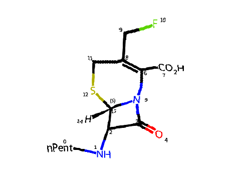 CCCCCNC1C(=O)N2C(C(=O)O)=C(CF)CS[C@@H]12